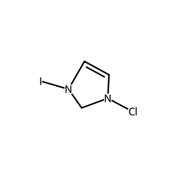 ClN1C=CN(I)C1